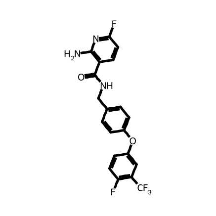 Nc1nc(F)ccc1C(=O)NCc1ccc(Oc2ccc(F)c(C(F)(F)F)c2)cc1